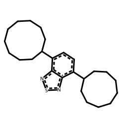 c1cc(C2CCCCCCCC2)c2nsnc2c1C1CCCCCCCCC1